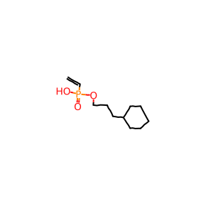 C=CP(=O)(O)OCCCC1CCCCC1